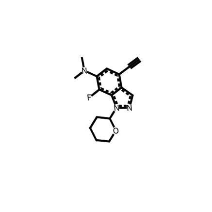 C#Cc1cc(N(C)C)c(F)c2c1cnn2C1CCCCO1